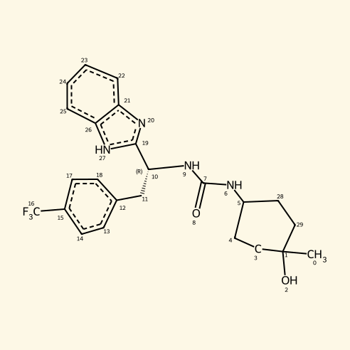 CC1(O)CCC(NC(=O)N[C@H](Cc2ccc(C(F)(F)F)cc2)c2nc3ccccc3[nH]2)CC1